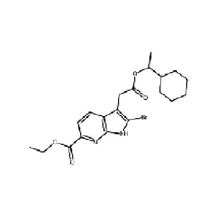 CCOC(=O)c1ccc2c(CC(=O)OC(C)C3CCCCC3)c(Br)[nH]c2n1